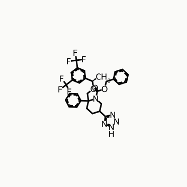 C[C@@H](OCC1(c2ccccc2)CCC(c2nn[nH]n2)CN1C(=O)OCc1ccccc1)c1cc(C(F)(F)F)cc(C(F)(F)F)c1